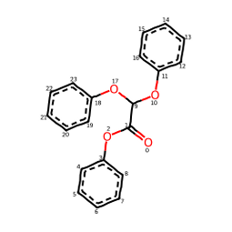 O=C(Oc1ccccc1)C(Oc1ccccc1)Oc1ccccc1